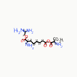 NC(N)COC(=O)C(N)CCCCCC(=O)OC(=O)C(N)C(=O)O